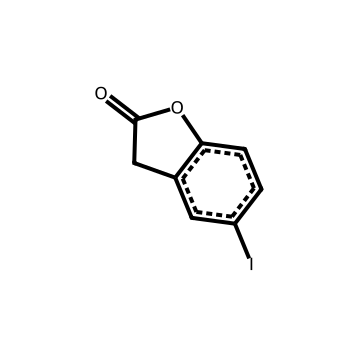 O=C1Cc2cc(I)ccc2O1